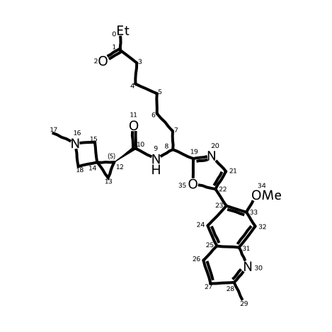 CCC(=O)CCCCCC(NC(=O)[C@H]1CC12CN(C)C2)c1ncc(-c2cc3ccc(C)nc3cc2OC)o1